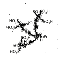 CCCNC(=O)c1cc(OCCCCc2cn(CCCNC(=O)c3cc(OCCCS(=O)(=O)O)c(OCCC)c(OCCCS(=O)(=O)O)c3)nn2)c(OCCCCc2cn(CCCNC(=O)c3cc(OCCCS(=O)(=O)O)c(OCCCS(=O)(=O)O)c(OCCCS(=O)(=O)O)c3)nn2)c(OCCCCc2cn(CCCNC(=O)c3cc(OCCCS(=O)(=O)O)c(OCCCS(=O)(=O)O)c(OCCCS(=O)(=O)O)c3)nn2)c1